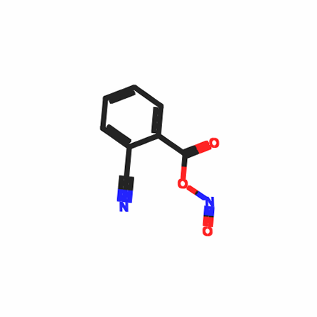 N#Cc1ccccc1C(=O)ON=O